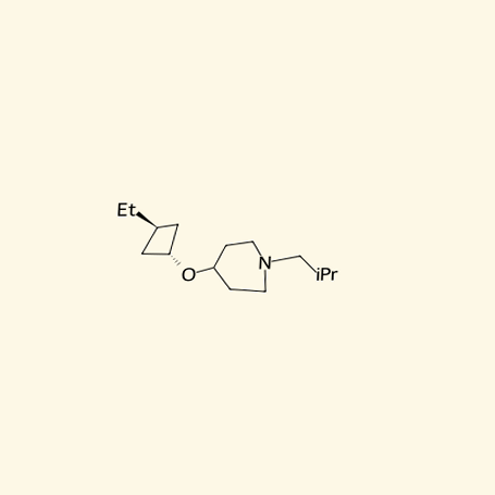 CC[C@H]1C[C@H](OC2CCN(CC(C)C)CC2)C1